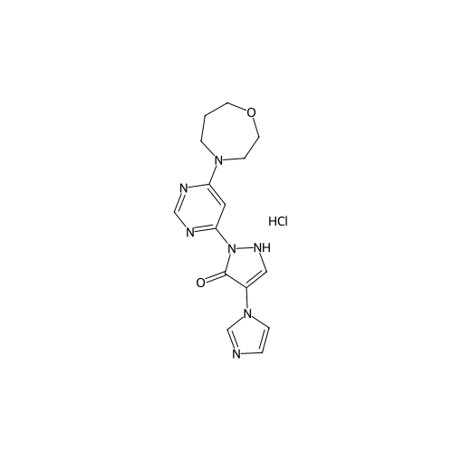 Cl.O=c1c(-n2ccnc2)c[nH]n1-c1cc(N2CCCOCC2)ncn1